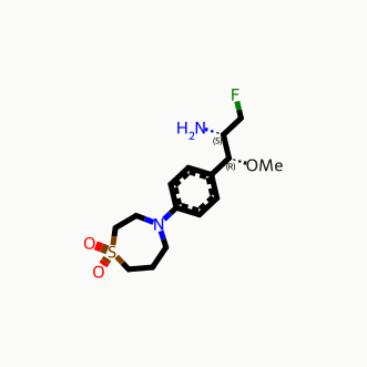 CO[C@H](c1ccc(N2CCCS(=O)(=O)CC2)cc1)[C@H](N)CF